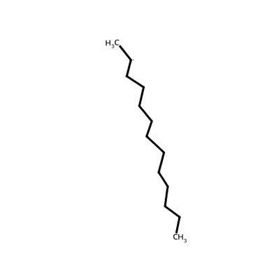 C[CH]CCCCCCCCCCC